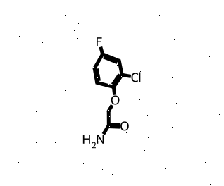 NC(=O)COc1ccc(F)cc1Cl